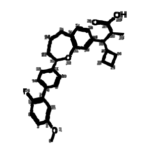 COc1ccc(F)c(-c2ccc([C@H]3CCCc4ccc([C@H](C5CCC5)[C@H](C)C(=O)O)cc4O3)cc2)c1